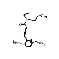 CCN(CCO)C(=O)C=Cc1cc(N)ccc1O